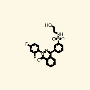 O=c1c2ccccc2c(-c2cccc(S(=O)(=O)NCCO)c2)nn1-c1ccc(F)cc1F